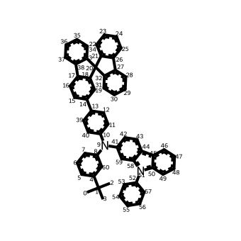 CC(C)(C)c1cccc(N(c2ccc(-c3ccc4c(c3)C3(c5ccccc5-c5ccccc53)c3ccccc3-4)cc2)c2ccc3c4ccccc4n(-c4ccccc4)c3c2)c1